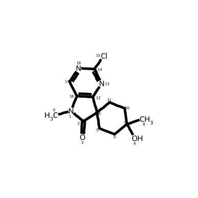 CN1C(=O)C2(CCC(C)(O)CC2)c2nc(Cl)ncc21